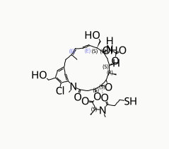 C/C1=C\C=C\[C@@H](CO)[C@@]2(O)C[C@H](OC(=O)N2)[C@@H](C)C2O[C@@]2(C)[C@@H](OC(=O)[C@H](C)N(C)C(=O)CCS)CC(=O)N(C)c2cc(cc(CO)c2Cl)C1